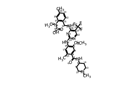 COc1cc(C(=O)NC2CCN(C)CC2)c(C)cc1Nc1ncc(C(F)(F)F)c(NCc2ccc(C)cc2N(C)[SH](=O)=O)n1